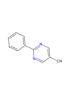 N#Cc1cnc(-c2cc[c]cc2)nc1